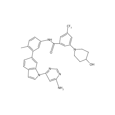 Cc1ccc(NC(=O)c2cc(N3CCC(O)CC3)cc(C(F)(F)F)c2)cc1-c1ccc2ccn(-c3cc(N)ncn3)c2c1